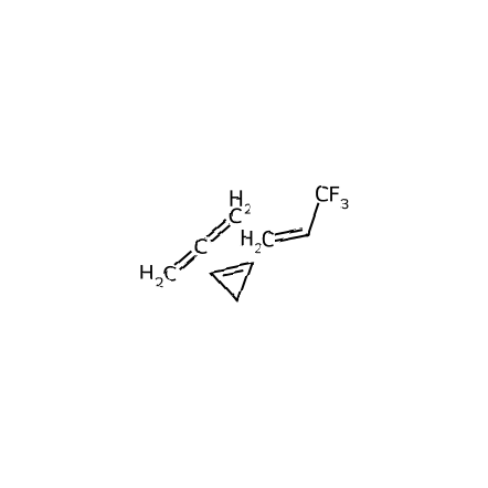 C1=CC1.C=C=C.C=CC(F)(F)F